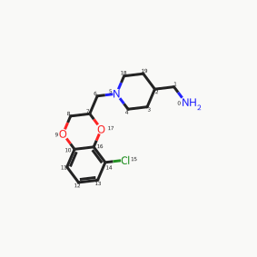 NCC1CCN(CC2COc3cccc(Cl)c3O2)CC1